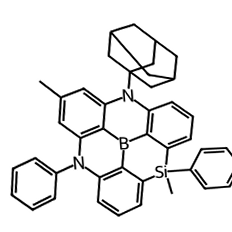 Cc1cc2c3c(c1)N(C14CC5CC(CC(C5)C1)C4)c1cccc4c1B3c1c(cccc1[Si]4(C)c1ccccc1)N2c1ccccc1